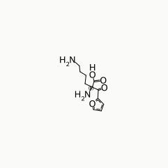 NCCCC[C@](N)(C(=O)O)C(=O)c1ccco1